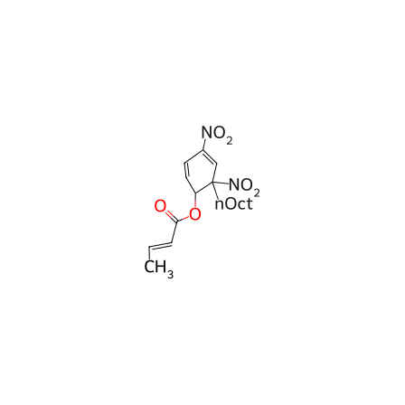 C/C=C/C(=O)OC1C=CC([N+](=O)[O-])=CC1(CCCCCCCC)[N+](=O)[O-]